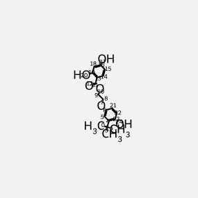 CC(C)(C)c1cc(OCCOC(=O)c2ccc(O)cc2O)ccc1O